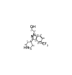 OCCn1nc(C2CCNCC2)c2cc(C(F)(F)F)ccc21